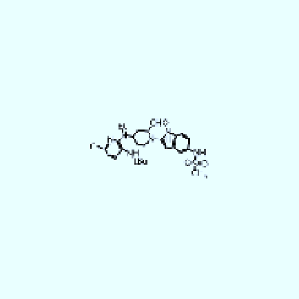 CCN(c1nc(Cl)ccc1NC(C)(C)C)C1CCN(c2cc3cc(NS(C)(=O)=O)ccc3[nH]2)C(C=O)C1